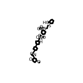 COc1ccc(OC)c(-c2coc(-c3ccc(-c4ccc(C(=O)NS(=O)(=O)c5ccc(NCCSc6ccccc6O)c([N+](=O)[O-])c5)cc4)cc3)n2)c1